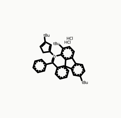 CC(C)(C)C1=CC[C]([Zr](=[C](c2ccccc2)c2ccccc2)[c]2c(C(C)(C)C)ccc3c2Cc2cc(C(C)(C)C)ccc2-3)=C1.Cl.Cl